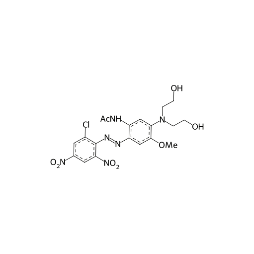 COc1cc(N=Nc2c(Cl)cc([N+](=O)[O-])cc2[N+](=O)[O-])c(NC(C)=O)cc1N(CCO)CCO